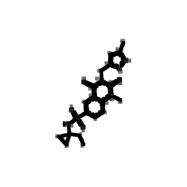 CCC1(NS(=O)(=O)c2ccc3c(c2)c(=O)n(Cc2cc(C)no2)c(=O)n3C)CC1